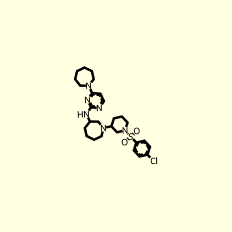 O=S(=O)(c1ccc(Cl)cc1)N1CCCC(N2CCCCC(Nc3nccc(N4CCCCCC4)n3)C2)C1